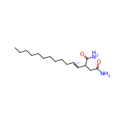 CCCCCCCCCC/C=C/C(CC(N)=O)C(N)=O